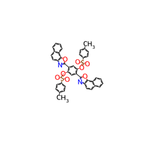 Cc1ccc(S(=O)(=O)Oc2cc(-c3nc4ccc5ccccc5c4o3)c(OS(=O)(=O)c3ccc(C)cc3)cc2-c2nc3ccc4ccccc4c3o2)cc1